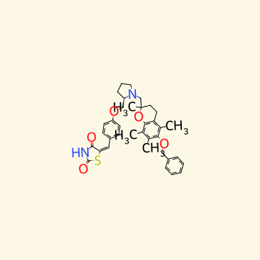 Cc1c(C)c2c(c(C)c1OCc1ccccc1)CCC(C)(CN1CCC[C@@H]1COc1ccc(C=C3SC(=O)NC3=O)cc1)O2